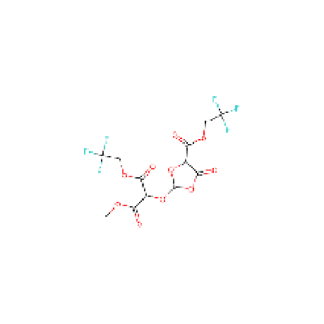 COC(=O)C(OB1OC(=O)C(C(=O)OCC(F)(F)F)O1)C(=O)OCC(F)(F)F